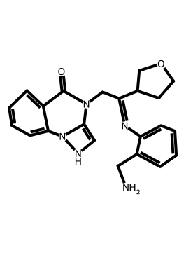 NCc1ccccc1N=C(Cn1c(=O)c2ccccc2n2[nH]cc12)C1CCOC1